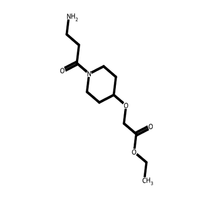 CCOC(=O)COC1CCN(C(=O)CCN)CC1